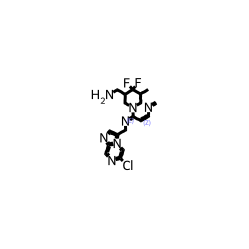 C=N/C=C\C(=N/Cc1cnc2cnc(Cl)cn12)N1CC(C)C(F)(F)C(CN)C1